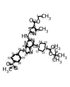 CCOC(=O)c1sc(Nc2nc(N3CCN(C(=O)OC(C)(C)C)CC3)c3ncn(Cc4ccc(S(C)(=O)=O)cc4)c3n2)nc1C